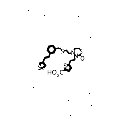 O=C(O)c1ccc(CCN2C(=O)SCCN2CCSCc2cccc(/C=C/c3ccsc3)c2)s1